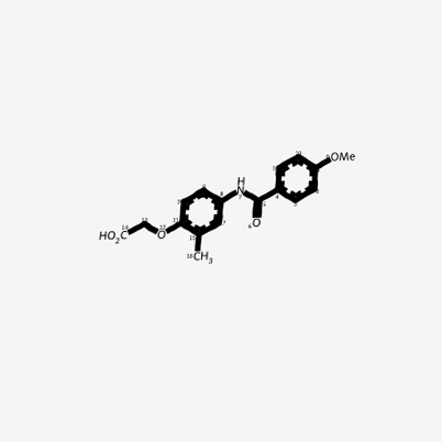 COc1ccc(C(=O)Nc2ccc(OCC(=O)O)c(C)c2)cc1